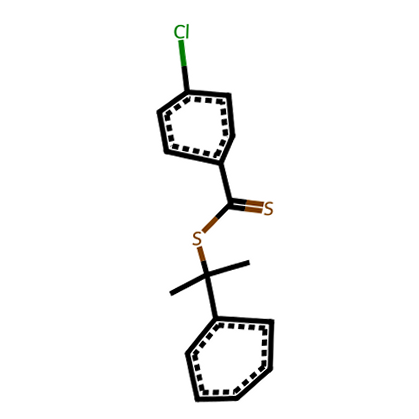 CC(C)(SC(=S)c1ccc(Cl)cc1)c1ccccc1